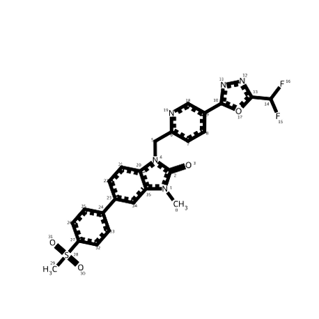 Cn1c(=O)n(Cc2ccc(-c3nnc(C(F)F)o3)cn2)c2ccc(-c3ccc(S(C)(=O)=O)cc3)cc21